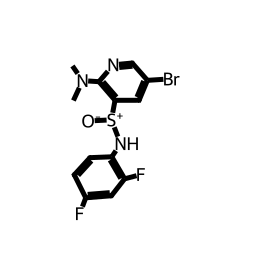 CN(C)c1ncc(Br)cc1[S+]([O-])Nc1ccc(F)cc1F